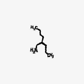 CCCC[C@H](CN)CCC